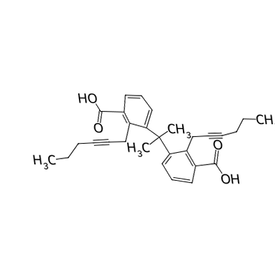 CCCC#CCc1c(C(=O)O)cccc1C(C)(C)c1cccc(C(=O)O)c1CC#CCCC